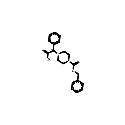 CC(C)(C)C(=O)[C@@H](c1ccccc1)N1CCN(C(=O)OCc2ccccc2)CC1